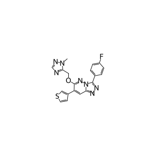 Cn1ncnc1COc1nn2c(-c3ccc(F)cc3)nnc2cc1-c1ccsc1